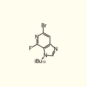 CC[C@H](C)n1cnc2cc(Br)nc(F)c21